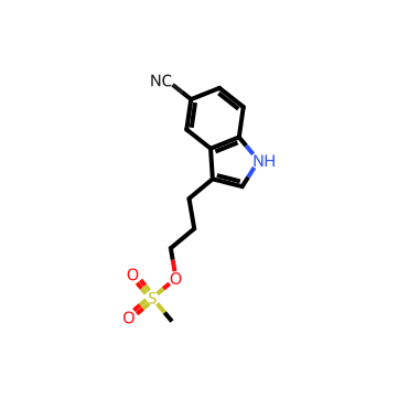 CS(=O)(=O)OCCCc1c[nH]c2ccc(C#N)cc12